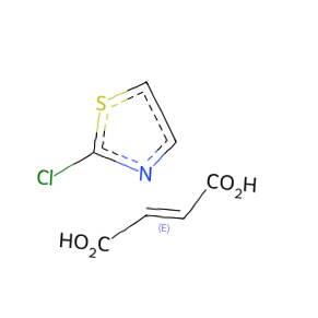 Clc1nccs1.O=C(O)/C=C/C(=O)O